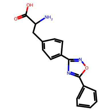 NC(Cc1ccc(-c2noc(-c3ccccc3)n2)cc1)C(=O)O